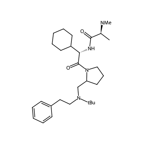 CN[C@@H](C)C(=O)N[C@H](C(=O)N1CCCC1CN(CCc1ccccc1)C(C)(C)C)C1CCCCC1